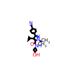 CC(C)n1nc(-c2ccc(C#N)cc2)c(C2CC2)c1C(=O)NC1CC(O)C1